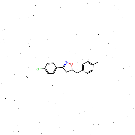 Cc1ccc(CC2CC(c3ccc(Cl)cc3)=NO2)cc1